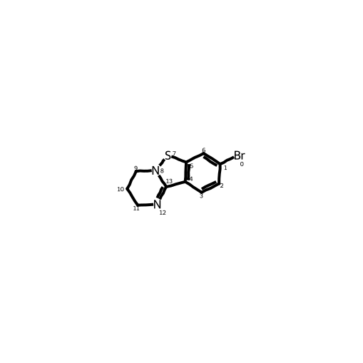 Brc1ccc2c(c1)SN1CCCN=C21